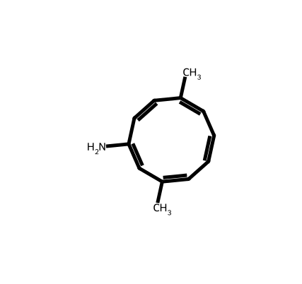 Cc1ccccc(C)cc(N)cc1